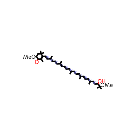 COC1CC(C)(C)C(/C=C/C(C)=C/C=C/C(C)=C/C=C/C=C(C)/C=C/C=C(C)/C=C/C=C(C)/C=C/C(O)C(C)(C)OC)=C(C)C1=O